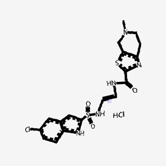 CN1CCc2nc(C(=O)N/C=C/NS(=O)(=O)c3cc4cc(Cl)ccc4[nH]3)sc2C1.Cl